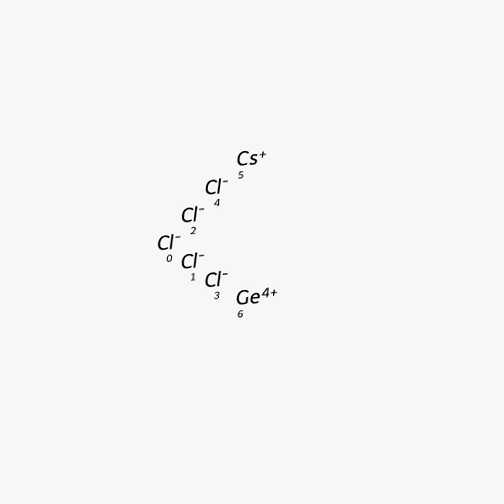 [Cl-].[Cl-].[Cl-].[Cl-].[Cl-].[Cs+].[Ge+4]